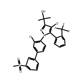 CC(C)(O)c1nn(-c2ccc(-c3cccc(S(C)(=O)=O)c3)cc2Cl)c(-c2ccccc2C(F)(F)F)c1Cl